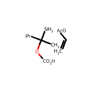 C=COC(C)=O.CC(C)C(C)([SiH3])OC(=O)O